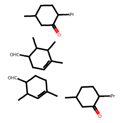 CC1=CC(C)C(C=O)CC1.CC1=CCC(C=O)C(C)C1C.CC1CCC(C(C)C)C(=O)C1.CC1CCC(C(C)C)C(=O)C1